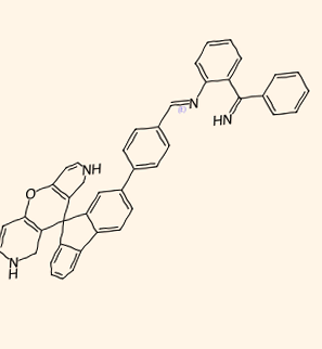 N=C(c1ccccc1)c1ccccc1/N=C/c1ccc(-c2ccc3c(c2)C2(C4=C(C=CNC4)OC4=C2CNC=C4)c2ccccc2-3)cc1